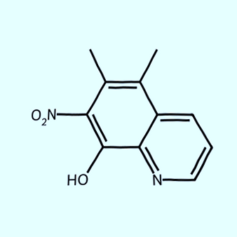 Cc1c([N+](=O)[O-])c(O)c2ncccc2c1C